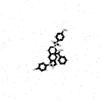 CC(C)(C)c1ccc(S(=O)(=O)N2CCC3=Cc4c(cnn4-c4ccc(F)cc4)CC3(C(O)c3ccccc3)C2)cc1